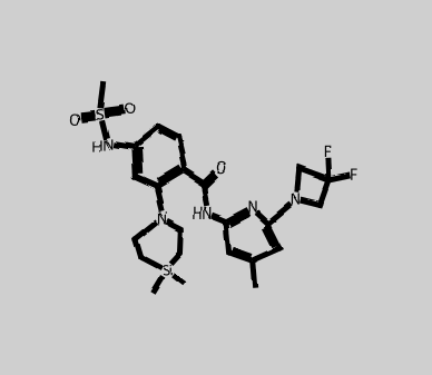 Cc1cc(NC(=O)c2ccc(NS(C)(=O)=O)cc2N2CC[Si](C)(C)CC2)nc(N2CC(F)(F)C2)c1